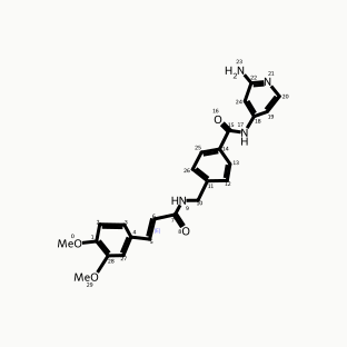 COc1ccc(/C=C/C(=O)NCc2ccc(C(=O)Nc3ccnc(N)c3)cc2)cc1OC